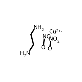 NCCN.O=[N+]([O-])[O-].O=[N+]([O-])[O-].[Cu+2]